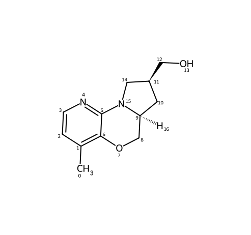 Cc1ccnc2c1OC[C@@H]1C[C@H](CO)CN21